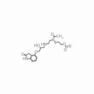 CC(=O)N(CCNCC(O)COc1cccc2c1CC(=O)N2)SCCO[N+](=O)[O-]